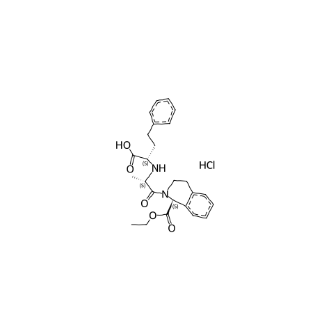 CCOC(=O)[C@@H]1c2ccccc2CCN1C(=O)[C@H](C)N[C@@H](CCc1ccccc1)C(=O)O.Cl